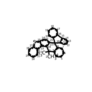 CC1(C)c2ccccc2C2(c3ccccc3-c3ccccc32)c2ccc3sc4ccccc4c3c21